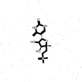 C=C1NC(=O)NC=C1[C@@H]1O[C@](C)(CCP(=C)(C)C)[C@@H](O)C1O